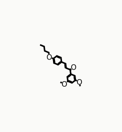 CCCCOc1ccc(C=CC(=O)c2cc(OC)cc(OC)c2)cc1